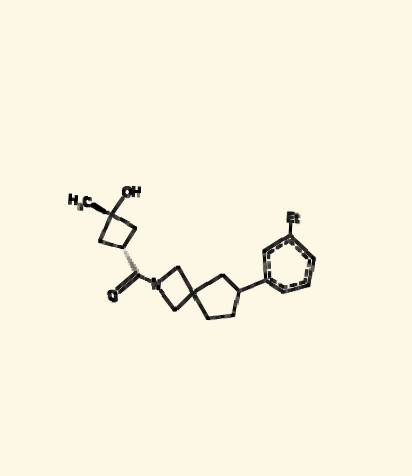 CCc1cccc(C2CCC3(C2)CN(C(=O)[C@H]2C[C@@](C)(O)C2)C3)c1